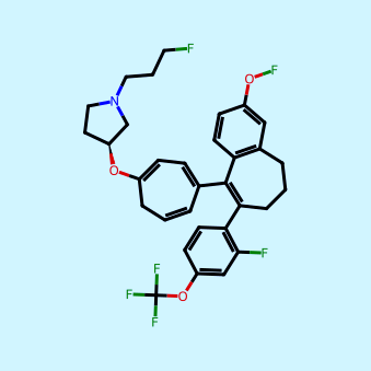 FCCCN1CC[C@H](OC2=CC=C(C3=C(c4ccc(OC(F)(F)F)cc4F)CCCc4cc(OF)ccc43)C=CC2)C1